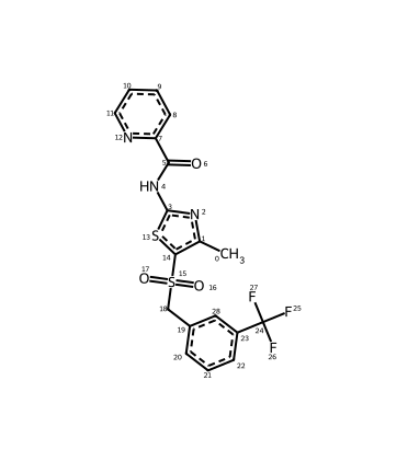 Cc1nc(NC(=O)c2ccccn2)sc1S(=O)(=O)Cc1cccc(C(F)(F)F)c1